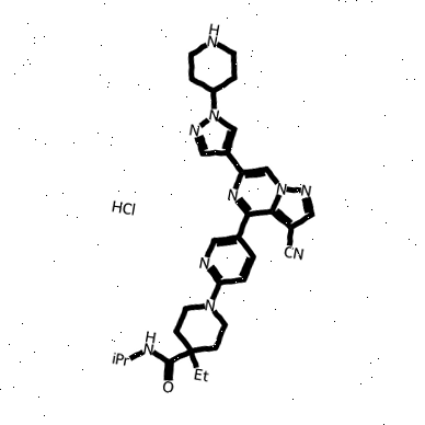 CCC1(C(=O)NC(C)C)CCN(c2ccc(-c3nc(-c4cnn(C5CCNCC5)c4)cn4ncc(C#N)c34)cn2)CC1.Cl